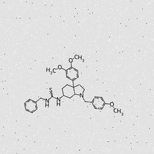 COc1ccc(CN2CCC3(c4ccc(OC)c(OC)c4)CCC(NC(=S)NCc4ccccc4)CC23)cc1